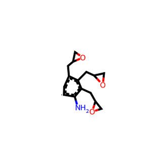 Nc1[c]cc(CC2CO2)c(CC2CO2)c1CC1CO1